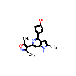 Cc1cc2c(-c3ccc(O)cc3)nc(-c3c(C)noc3C)cc2[nH]1